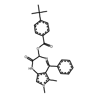 Cc1c2c(cn1C)NC(=O)C(OC(=O)c1ccc(C(C)(C)C)cc1)N=C2c1ccccc1